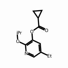 CCc1cnc(OC(C)C)c(OC(=O)C2CC2)c1